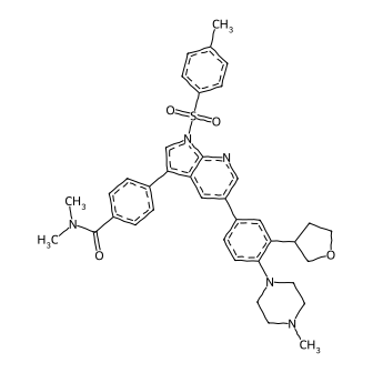 Cc1ccc(S(=O)(=O)n2cc(-c3ccc(C(=O)N(C)C)cc3)c3cc(-c4ccc(N5CCN(C)CC5)c(C5CCOC5)c4)cnc32)cc1